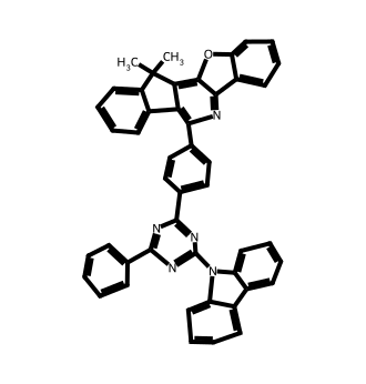 CC1(C)c2ccccc2-c2c(-c3ccc(-c4nc(-c5ccccc5)nc(-n5c6ccccc6c6ccccc65)n4)cc3)nc3c(oc4ccccc43)c21